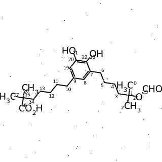 CC(C)(CCCCc1cc(CCCCCC(C)(C)C(=O)O)cc(O)c1O)OC=O